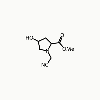 COC(=O)C1CC(O)CN1CC#N